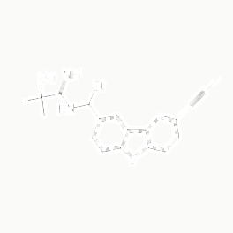 CC#Cc1ccc2sc3ccc(C(CC)NC(=N)C(C)(C)C(C)CC)cc3c2c1